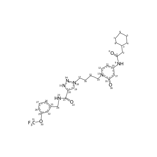 O=C(CC1CCCCC1)Nc1ccn(CCCCn2cc(C(=O)NCc3cccc(OC(F)(F)F)c3)nn2)c(=O)c1